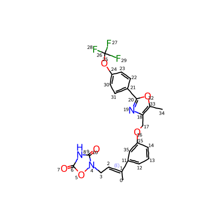 C/C(=C\Cn1oc(=O)[nH]c1=O)c1cccc(OCc2nc(-c3ccc(OC(F)(F)F)cc3)oc2C)c1